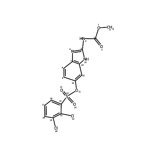 COC(=O)Nc1nc2ccc(OS(=O)(=O)c3cccc(Cl)c3Cl)cc2[nH]1